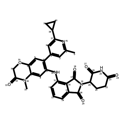 Cc1cc(-c2cc3c(cc2Nc2cccc4c2C(=O)N(C2CCC(=O)NC2=O)C4=O)N(C)C(=O)CO3)cc(C2CC2)n1